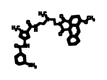 COc1ccc2c3c(c4ccccc4cc13)C(=O)N(CCN(C)CCNC(=O)c1cc(NC(=O)c3cccc(N)c3)cn1C)C2=O